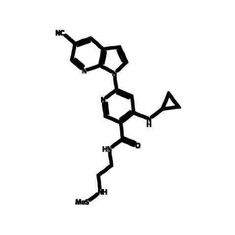 CSNCCNC(=O)c1cnc(-n2ccc3cc(C#N)cnc32)cc1NC1CC1